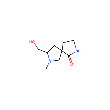 CN1CC2(CCNC2=O)CC1CO